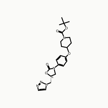 CC(C)(C)OC(=O)N1CCC(Oc2ccc(N3C[C@H](Cn4ccnn4)OC3=O)cc2)CC1